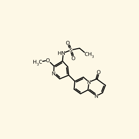 CCS(=O)(=O)Nc1cc(-c2ccc3nccc(=O)n3c2)cnc1OC